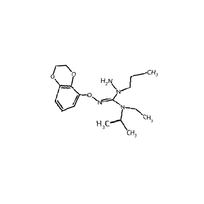 CCCN(N)C(=NOc1cccc2c1OCCO2)N(CC)C(C)C